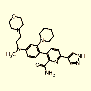 CN(CCN1CCOCC1)c1ccc(-c2ccc(-c3cn[nH]c3)nc2C(N)=O)c(N2CCCCC2)c1